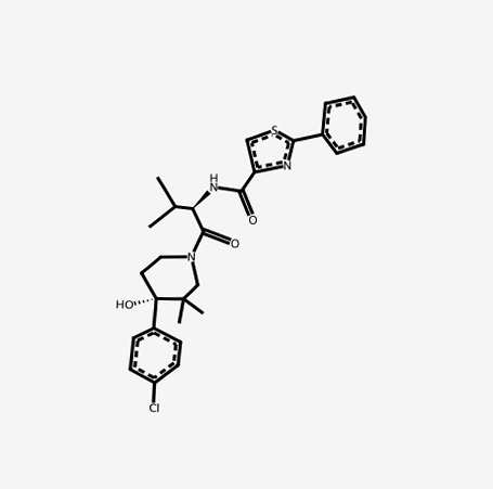 CC(C)[C@@H](NC(=O)c1csc(-c2ccccc2)n1)C(=O)N1CC[C@](O)(c2ccc(Cl)cc2)C(C)(C)C1